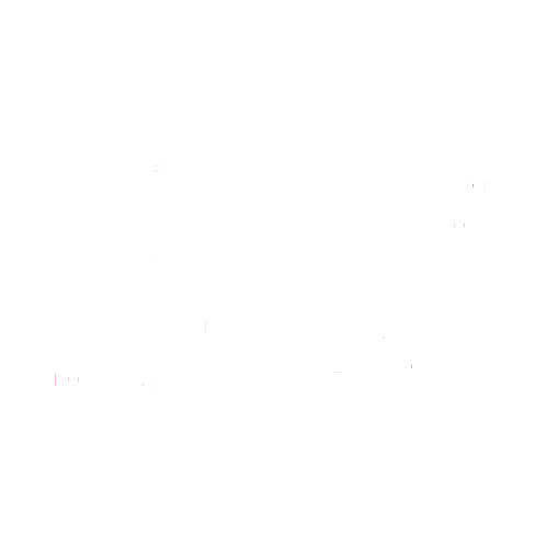 COc1ccc(-c2ccc(C3(CCC(=O)O)CC3F)c(F)c2)c2c1OC(C)(C)C2